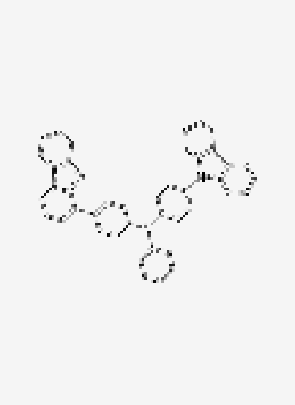 c1ccc(N(c2ccc(-c3cccc4c3sc3ccccc34)cc2)c2ccc(-n3c4ccccc4c4ccccc43)cc2)cc1